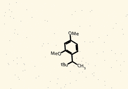 COc1ccc(C(C)C(C)(C)C)c(OC)c1